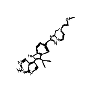 CNCCN1CCn2nc(-c3ccc4[nH]c(-c5ccnc6[nH]ncc56)c(C(C)C)c4c3)nc2C1